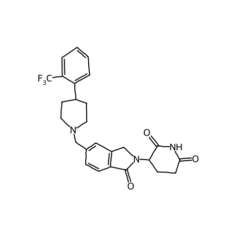 O=C1CCC(N2Cc3cc(CN4CCC(c5ccccc5C(F)(F)F)CC4)ccc3C2=O)C(=O)N1